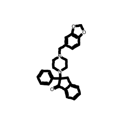 O=C1c2ccccc2CC1(c1ccccc1)N1CCN(Cc2ccc3c(c2)OCO3)CC1